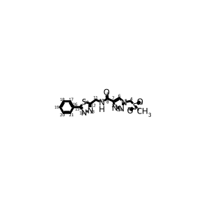 CS(=O)(=O)Cn1cc(C(=O)NCc2nnc(-c3ccccc3)s2)nn1